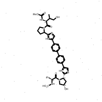 COC(=O)N[C@H](C(=O)N1CCCC1c1ncc(-c2ccc(-c3ccc(-c4cnc([C@@H]5C[C@H](O)CN5C(=O)[C@@H](NC(=O)O)C(C)C)[nH]4)cc3)cc2)[nH]1)C(C)CO